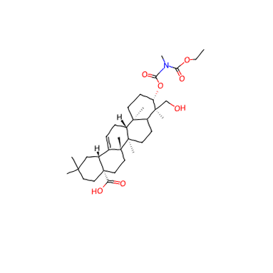 CCOC(=O)N(C)C(=O)O[C@H]1CC[C@@]2(C)C(CC[C@]3(C)[C@@H]2CC=C2[C@H]4CC(C)(C)CC[C@]4(C(=O)O)CC[C@]23C)[C@]1(C)CO